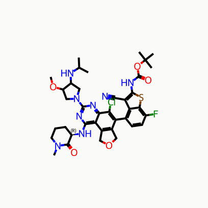 COC1CN(c2nc(N[C@@H]3CCCN(C)C3=O)c3c4c(c(-c5ccc(F)c6sc(NC(=O)OC(C)(C)C)c(C#N)c56)c(Cl)c3n2)COC4)CC1NC(C)C